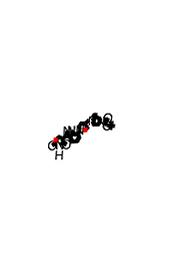 Cn1nc(C2CCC(=O)NC2=O)c2cccc(N3CCC(CN4CCN(C(=O)OC(C)(C)C)CC4(C)C)CC3)c21